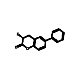 O=C1Oc2ccc(-c3ccccc3)cc2C[C@@H]1F